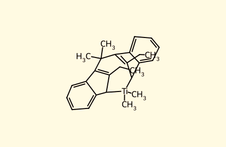 CCC1=C2c3ccccc3[CH]1[Ti]([CH3])([CH3])[CH]1C(CC)=C(c3ccccc31)C2(C)C